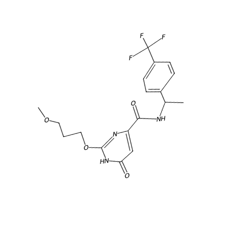 COCCCOc1nc(C(=O)NC(C)c2ccc(C(F)(F)F)cc2)cc(=O)[nH]1